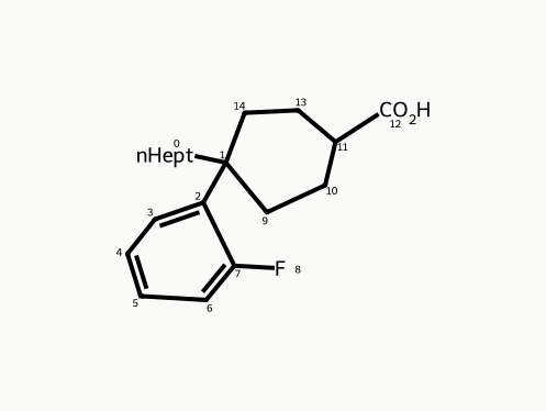 CCCCCCCC1(c2ccccc2F)CCC(C(=O)O)CC1